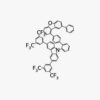 FC(F)(F)c1cc(-c2ccc3c(c2)c2cc(-c4cc(C(F)(F)F)cc(C(F)(F)F)c4)ccc2n3-c2ccccc2-c2ccc(-c3cccc4oc5ccc(-c6ccccc6)cc5c34)cc2)cc(C(F)(F)F)c1